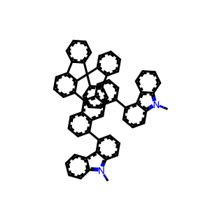 Cn1c2ccccc2c2c(-c3cccc4c(-c5cccc6c5C5(c7ccccc7-c7ccccc75)c5ccccc5-6)c5cccc(-c6cccc7c6c6ccccc6n7C)c5cc34)cccc21